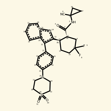 N#CC1(NC(=O)[C@@H]2CC(F)(F)CC[C@H]2c2nn3ccccc3c2-c2ccc(N3CCS(=O)(=O)CC3)cc2)CC1